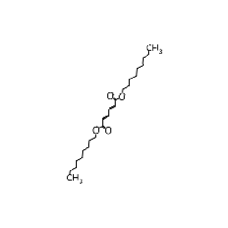 CCCCCCCCCOC(=O)/C=C/C=C/C(=O)OCCCCCCCCC